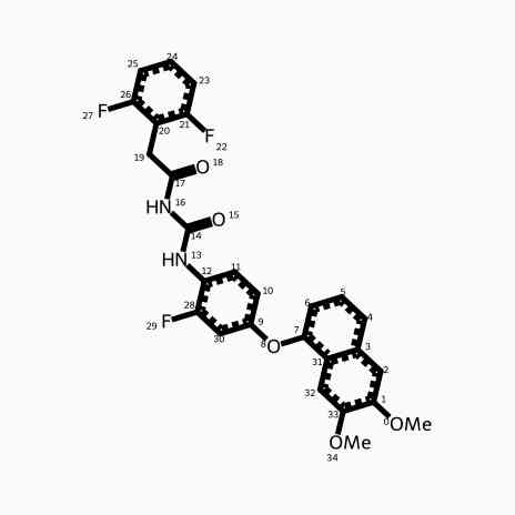 COc1cc2cccc(Oc3ccc(NC(=O)NC(=O)Cc4c(F)cccc4F)c(F)c3)c2cc1OC